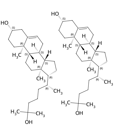 C[C@H](CCCC(C)(C)O)[C@H]1CC[C@H]2[C@@H]3CC=C4C[C@@H](O)CC[C@]4(C)[C@H]3CC[C@]12C.C[C@H](CCCC(C)(C)O)[C@H]1CC[C@H]2[C@@H]3CC=C4C[C@@H](O)CC[C@]4(C)[C@H]3CC[C@]12C